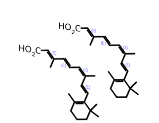 CC1=C(/C=C/C(C)=C\C=C\C(C)=C\C(=O)O)C(C)(C)CCC1.CC1=C(/C=C/C(C)=C\C=C\C(C)=C\C(=O)O)C(C)(C)CCC1